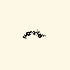 O=S(=O)(N[C@@H]1CCN(Cc2ccc(-c3nccs3)cc2)C1)c1cccc(OC(F)(F)F)c1